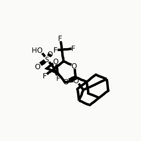 O=C(OC(C(F)(F)F)C(F)(F)S(=O)(=O)O)C12CC3CC(C1)C(OCC1CO1)C(C3)C2